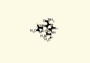 CC[C@@H](Nc1nc(Nc2snc(C)c2I)c(C(N)=O)nc1I)C(N)O